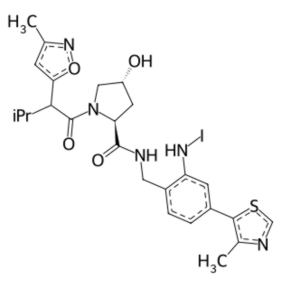 Cc1cc(C(C(=O)N2C[C@H](O)C[C@H]2C(=O)NCc2ccc(-c3scnc3C)cc2NI)C(C)C)on1